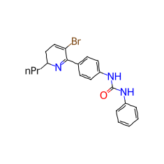 CCCC1CC=C(Br)C(c2ccc(NC(=O)Nc3ccccc3)cc2)=N1